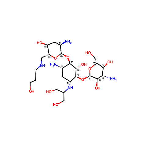 N[C@@H]1[C@@H](O)[C@@H](O[C@@H]2[C@@H](O)[C@H](O[C@H]3O[C@H](CNCCCO)[C@@H](O)C[C@H]3N)[C@@H](N)C[C@H]2NC(CO)CO)O[C@H](CO)[C@H]1O